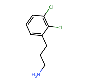 NCCCc1cccc(Cl)c1Cl